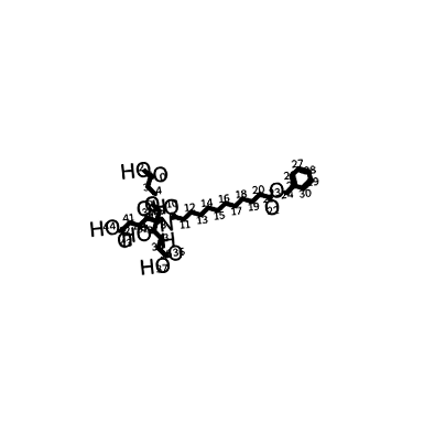 O=C(O)CCOCC(NC(=O)CCCCCCCCCCC(=O)OCc1ccccc1)(C(O)CCC(=O)O)C(O)CCC(=O)O